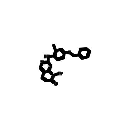 Cc1cc(SCc2ccccc2)ccc1Nc1ncc2ccc(=O)n(C(C)C)c2n1